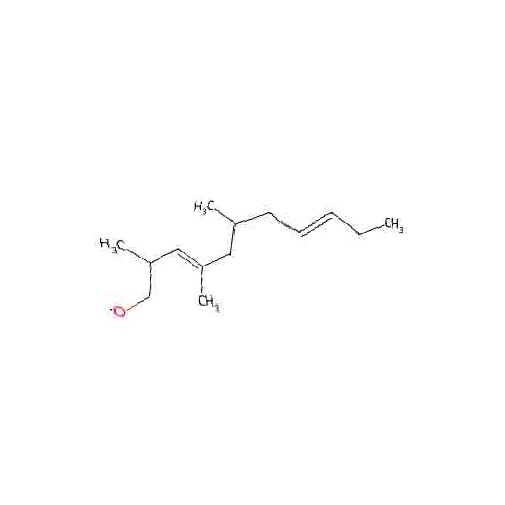 CCC=CCC(C)CC(C)=CC(C)C[O]